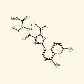 COC(=O)C(CCl)NC(=O)c1nc(-c2ccc(OC)c3nc(C(F)(F)F)ccc23)oc1[C@H](C)N